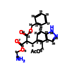 CC(=O)OCc1c(CC(C(=O)OCN)C(=O)OCc2ccccc2)ccc2[nH]ncc12